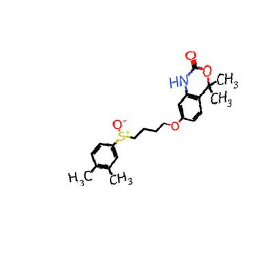 Cc1ccc([S+]([O-])CCCCOc2ccc3c(c2)NC(=O)OC3(C)C)cc1C